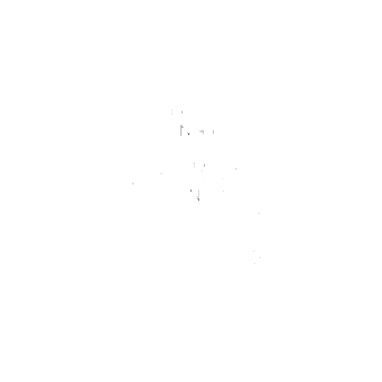 CCOC(=O)CCCN(C(=O)OC(C)(C)C)C(C)c1cc([N+](=O)[O-])ccc1SCC